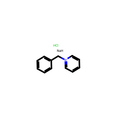 Cl.[NaH].c1ccc(C[n+]2ccccc2)cc1